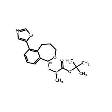 CN(C[C@H]1OCCCc2c(-c3cnco3)cccc21)C(=O)OC(C)(C)C